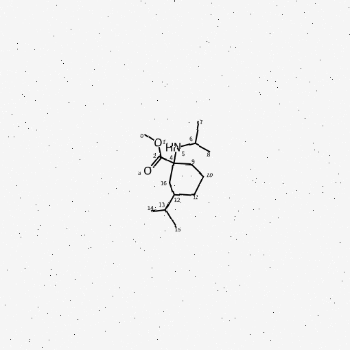 COC(=O)C1(NC(C)C)CCCC(C(C)C)C1